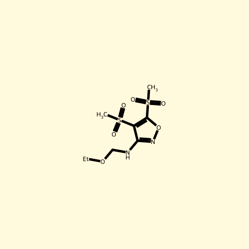 CCOCNc1noc(S(C)(=O)=O)c1S(C)(=O)=O